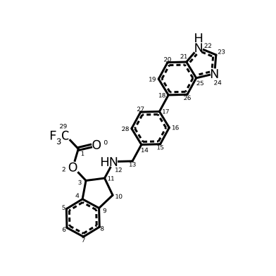 O=C(OC1c2ccccc2CC1NCc1ccc(-c2ccc3[nH]cnc3c2)cc1)C(F)(F)F